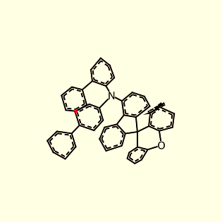 c1ccc(-c2ccc(N(c3ccccc3-c3ccccc3)c3cccc4c3-c3ccccc3C43c4ccccc4Oc4ccc5ccccc5c43)cc2)cc1